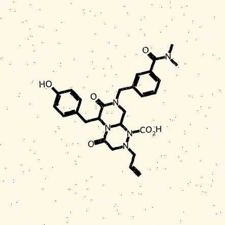 C=CCN1CC(=O)N2C(Cc3ccc(O)cc3)C(=O)N(Cc3cccc(C(=O)N(C)C)c3)CC2N1C(=O)O